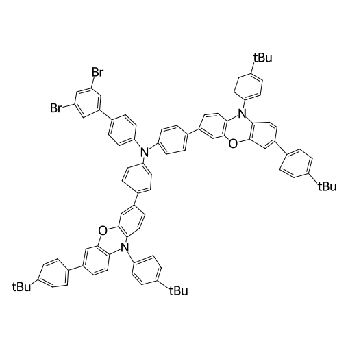 CC(C)(C)C1=CC=C(N2c3ccc(-c4ccc(N(c5ccc(-c6cc(Br)cc(Br)c6)cc5)c5ccc(-c6ccc7c(c6)Oc6cc(-c8ccc(C(C)(C)C)cc8)ccc6N7c6ccc(C(C)(C)C)cc6)cc5)cc4)cc3Oc3cc(-c4ccc(C(C)(C)C)cc4)ccc32)CC1